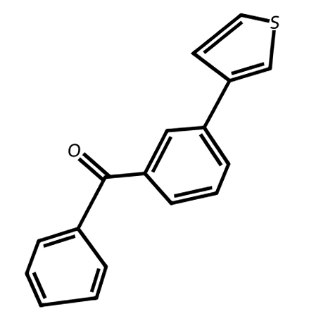 O=C(c1ccccc1)c1cccc(-c2ccsc2)c1